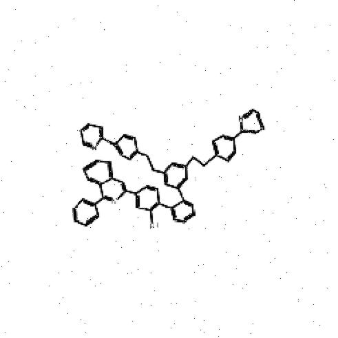 Oc1cc(-c2cc3ccccc3c(-c3ccccc3)n2)ccc1-c1ccccc1-c1cc(CCc2ccc(-c3ccccn3)cc2)cc(CCc2ccc(-c3ccccn3)cc2)c1